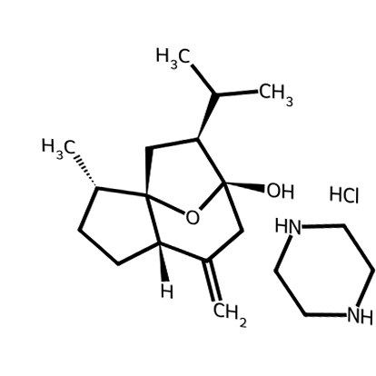 C1CNCCN1.C=C1C[C@]2(O)O[C@@]3(C[C@H]2C(C)C)[C@@H](C)CC[C@@H]13.Cl